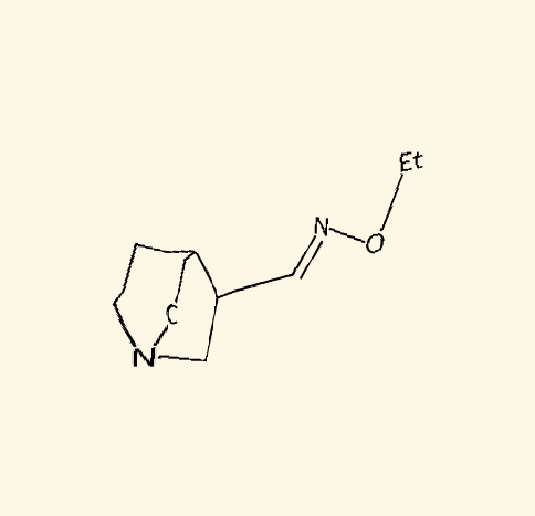 CCON=CC1CN2CCC1CC2